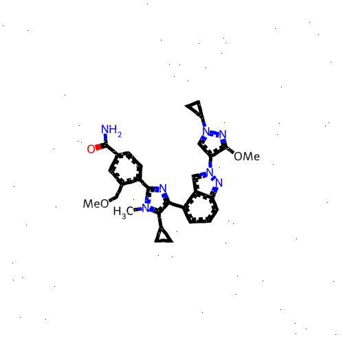 COCc1cc(C(N)=O)ccc1-c1nc(-c2cccc3nn(-c4cn(C5CC5)nc4OC)cc23)c(C2CC2)n1C